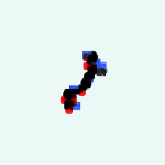 Cc1cc(C)c(CNC(=O)c2cc(-c3ccc(N4CCN(CCC(=O)NCCNc5cccc6c5C(=O)N(C5CCC(=O)NC5=O)C6=O)CC4)nc3)cc(NC(C)C)c2C=N)c(=O)[nH]1